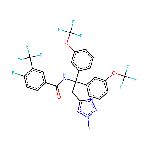 Cn1nnc(CC(NC(=O)c2ccc(F)c(C(F)(F)F)c2)(c2cccc(OC(F)(F)F)c2)c2cccc(OC(F)(F)F)c2)n1